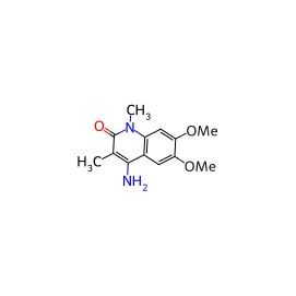 COc1cc2c(N)c(C)c(=O)n(C)c2cc1OC